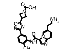 Cc1ccc(-c2noc(C3CN(C(=O)O)C3)n2)cc1NC(=O)c1cnc2ccc(CCN)cn12